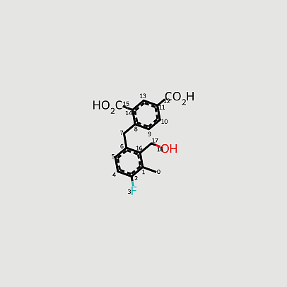 Cc1c(F)ccc(Cc2ccc(C(=O)O)cc2C(=O)O)c1CO